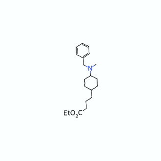 CCOC(=O)CCCC1CCC(N(C)Cc2ccccc2)CC1